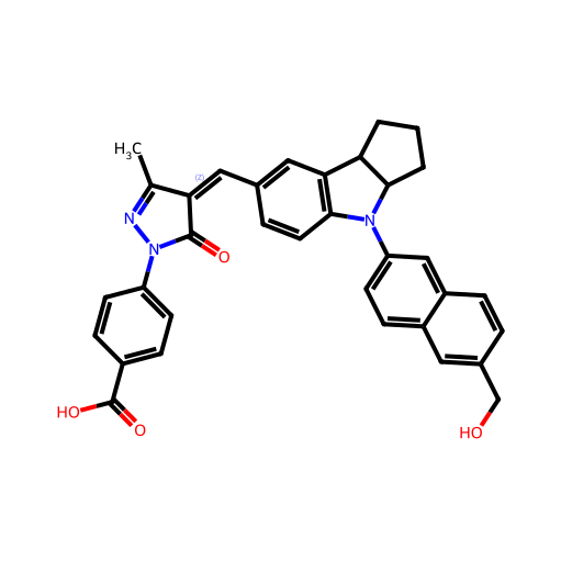 CC1=NN(c2ccc(C(=O)O)cc2)C(=O)/C1=C\c1ccc2c(c1)C1CCCC1N2c1ccc2cc(CO)ccc2c1